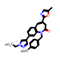 COc1ccc(CN2C(=O)CC(c3ncc(C)o3)=Cc3ccc(-c4cnn(CC(=O)O)c4)cc32)cc1